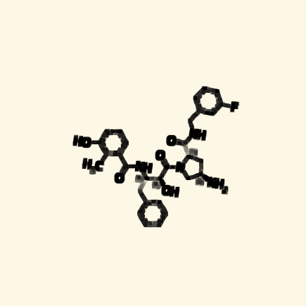 Cc1c(O)cccc1C(=O)N[C@@H](Cc1ccccc1)[C@H](O)C(=O)N1C[C@H](N)C[C@H]1C(=O)NCc1cccc(F)c1